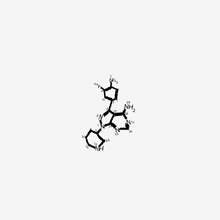 Nc1ccc(-c2nn(C3CCCNC3)c3ncnc(N)c23)cc1F